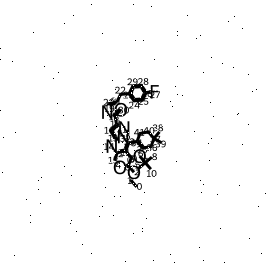 CCOC(=O)[C@@H](OC(C)(C)C)c1c(C)nc2cc(-c3ncc(Cc4ccc(F)cc4)o3)nn2c1C1=CCC(C)(C)CC1